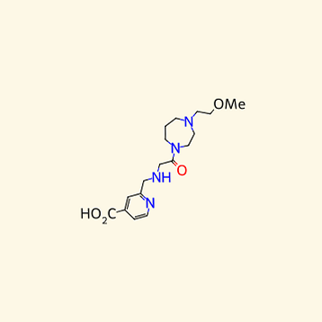 COCCN1CCCN(C(=O)CNCc2cc(C(=O)O)ccn2)CC1